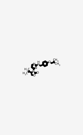 CC(C)COc1ccc(CNc2nccc(N3C(=O)OCC3C(C)C)n2)cc1